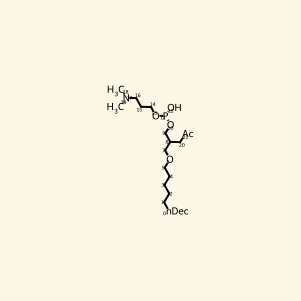 CCCCCCCCCCCCCCCOCC(COP(O)OCCCN(C)C)CC(C)=O